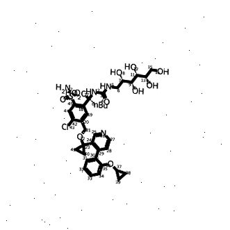 CCCC[C@@](NC(=O)NC[C@H](O)[C@@H](O)[C@H](O)[C@H](O)CO)(C(=O)O)c1cc(COC2(c3cnccc3-c3ccccc3OC3CC3)CC2)c(Cl)cc1S(N)(=O)=O